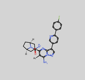 CC(=O)c1c([C@H]2C[C@H]3CC[C@@H](C2)N3C(N)=O)nc2c(-c3ccc(-c4ccc(F)cc4)nc3)cnn2c1N